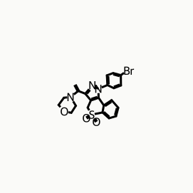 C=C(c1nn(-c2ccc(Br)cc2)c2c1CS(=O)(=O)c1ccccc1-2)N1CCOCC1